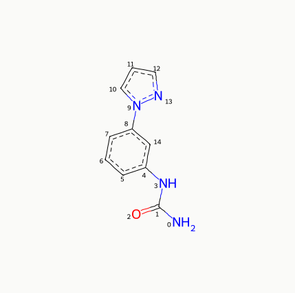 NC(=O)Nc1cccc(-n2cccn2)c1